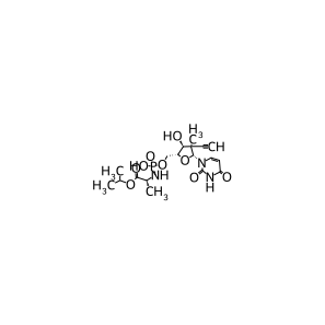 C#C[C@]1(C)[C@H](O)[C@@H](COP(=O)(O)N[C@@H](C)C(=O)OC(C)C)O[C@H]1n1ccc(=O)[nH]c1=O